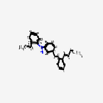 CCCCc1ccccc1CCc1cccc(Nc2ccccc2CC)c1